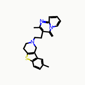 C=C1C(CCN2CCc3sc4ccc(C)cc4c3C2)=C(C)N=C2C=CC=CN12